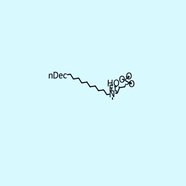 CCCCCCCCCCCCCCCCCCCC[N+](C)(CC)CC(O)CS(=O)(=O)[O-]